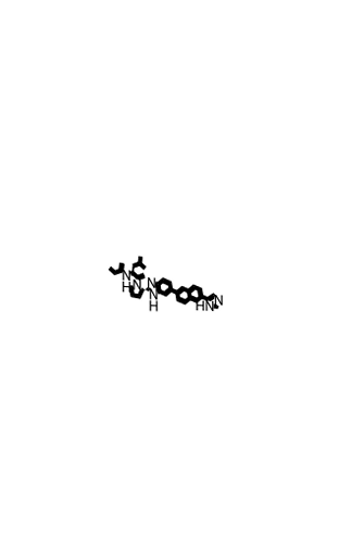 C=C(CC)N[C@@H](CC(C)C)C(=C)N1CCC[C@H]1c1nc2ccc(-c3ccc4cc(-c5cnc[nH]5)ccc4c3)cc2[nH]1